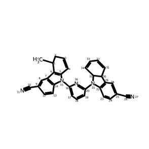 CC1CC=Cc2c1c1cc(C#N)ccc1n2-c1cccc(N2c3ccc(C#N)cc3C3C=CC=CC32)n1